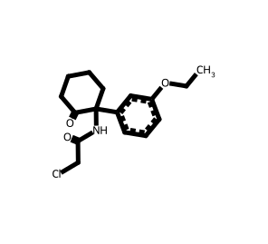 CCOc1cccc(C2(NC(=O)CCl)CCCCC2=O)c1